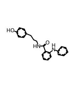 O=C(NCCCc1ccc(O)cc1)c1ccccc1Nc1ccccc1